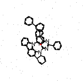 C1=CC2c3ccc4c5ccccc5n(-c5cccc(-c6cccc(-c7ccccc7)c6)c5)c4c3N(c3nc(-c4ccccc4)nc(-c4ccccc4)n3)C2C=C1